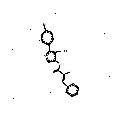 O=C(Nc1csc(-c2ccc(Br)cc2)c1C(=O)O)/C(F)=C/c1ccccc1